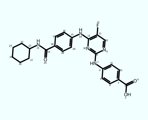 O=C(O)c1ccc(Nc2ncc(F)c(Nc3ccc(C(=O)NC4CCCCC4)cc3)n2)cc1